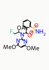 COc1cc(OC)nc(N(C(=O)c2ccccc2S(N)(=O)=O)C(CF)OC(C)=O)n1